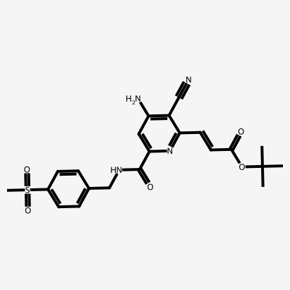 CC(C)(C)OC(=O)C=Cc1nc(C(=O)NCc2ccc(S(C)(=O)=O)cc2)cc(N)c1C#N